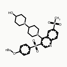 CCCCOc1ccc(S(=O)(=O)c2cnc3ccc(S(C)(=O)=O)cc3c2N2CCC(N3CCC(O)CC3)CC2)cc1